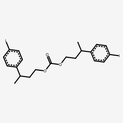 CC(CCOC(=O)OCCC(C)c1ccc(I)cc1)c1ccc(I)cc1